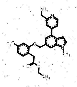 CCOC(=O)Cc1ccc(C)cc1OCc1cc(-c2ccnc(CN)c2)c2ccn(C)c2c1